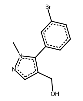 Cn1ncc(CO)c1-c1cccc(Br)c1